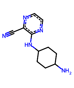 N#Cc1nccnc1NC1CCC(N)CC1